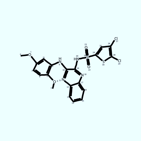 COc1ccc(OC)c(Nc2nc3ccccc3nc2NS(=O)(=O)c2cc(Cl)c(Cl)s2)c1